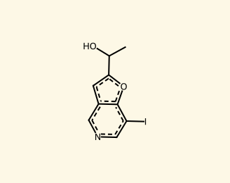 CC(O)c1cc2cncc(I)c2o1